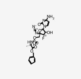 C[C@H](N[PH](=O)OC[C@@]1(N=[N+]=[N-])O[C@@H](n2ccc(N)nc2=O)[C@H](O)[C@@H]1F)C(=O)OCc1ccccc1